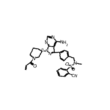 C=CC(=O)N1CCC[C@@H](n2nc(-c3ccc(CN(C)S(=O)(=O)c4ccccc4C#N)cc3)c3c(N)ncnc32)C1